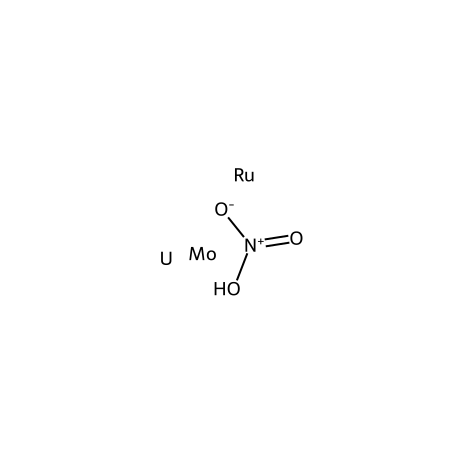 O=[N+]([O-])O.[Mo].[Ru].[U]